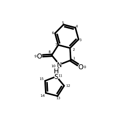 O=C1c2ccccc2C(=O)N1[SH]1C=CC=C1